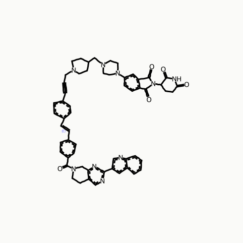 O=C1CCC(N2C(=O)c3ccc(N4CCN(CC5CCN(CC#Cc6ccc(/C=C/c7ccc(C(=O)N8CCc9cnc(-c%10cnc%11ccccc%11c%10)nc9C8)cc7)cc6)CC5)CC4)cc3C2=O)C(=O)N1